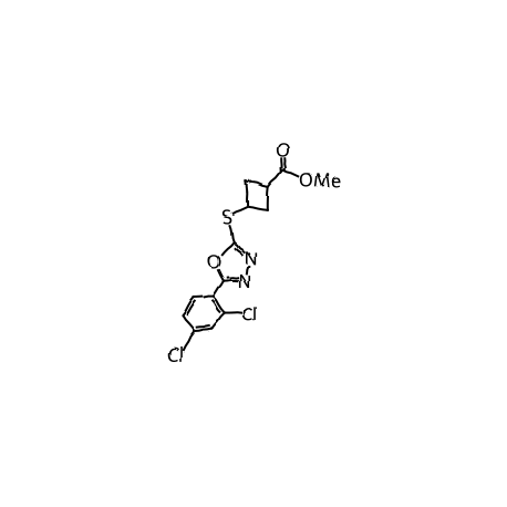 COC(=O)C1CC(Sc2nnc(-c3ccc(Cl)cc3Cl)o2)C1